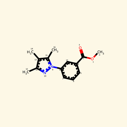 COC(=O)c1cccc(-n2nc(C)c(C)c2C)c1